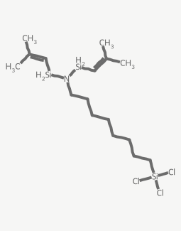 CC(C)=C[SiH2]N(CCCCCCCC[Si](Cl)(Cl)Cl)[SiH2]C=C(C)C